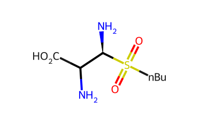 CCCCS(=O)(=O)[C@H](N)C(N)C(=O)O